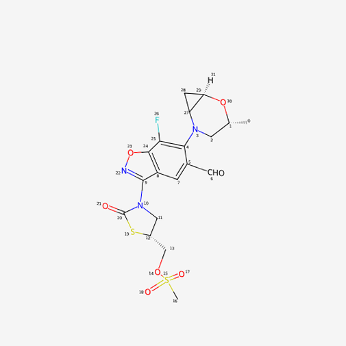 C[C@@H]1CN(c2c(C=O)cc3c(N4C[C@H](COS(C)(=O)=O)SC4=O)noc3c2F)C2C[C@H]2O1